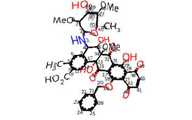 COC1C(NC2c3cc(C)c(C(=O)O)cc3C3(O)C(=O)c4c(OCc5ccccc5)c5c(c(O)c4C(=O)C3(OC)C2O)C(=O)C=CC5=O)O[C@@H](C)[C@H](OC)[C@H]1O